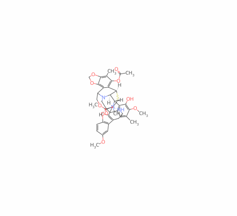 COc1ccc2oc3c(c2c1)CCN[C@]31CS[C@@H]2c3c(OC(C)=O)c(C)c4c(c3C(COC1=O)N1[C@@H]2[C@@H]2c3c(cc(C)c(OC)c3O)C[C@@H]([C@@H]1C)N2C)OCO4